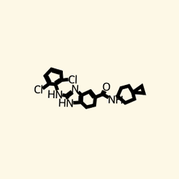 O=C(NC1CCC2(CC1)CC2)C1=Cc2nc(Nc3c(Cl)cccc3Cl)[nH]c2CC1